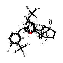 Cc1cc(N2C[C@H]3CC[C@@H](C2)[C@H]3Nc2nc(Oc3ccc(F)c(C(F)(F)F)c3)n(CC(F)(F)F)n2)ncn1